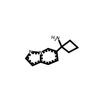 NC1(c2ccc3ccnn3c2)CCC1